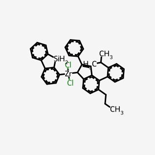 CCCc1ccc2c(c1-c1ccccc1C(C)C)C=C(c1ccccc1)[CH]2[Zr]([Cl])([Cl])[c]1cccc2c1[SiH2]c1ccccc1-2